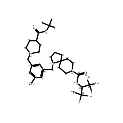 CC(C)(C)OC(=O)C1CCN(Cc2cc(Cl)cc(CN3CCCC34CCN(C(=O)OC(C(F)(F)F)C(F)(F)F)CC4)c2)CC1